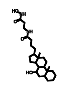 CC12CCC3C(C(O)CC4CCCCC43C)C1CCC2CCCC(=O)NCCC(=O)NO